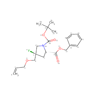 C=CCOC[C@@]1(F)C[C@@H](C(=O)OCc2ccccc2)N(C(=O)OC(C)(C)C)C1